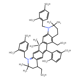 CC1(C)CCc2c(cc3c(c2CS(=O)(=O)O)C(c2cc(C(=O)O)ccc2C(=O)O)=c2cc4c(cc2[Si]3(C)C)=[N+](Cc2ccc(S(=O)(=O)O)cc2S(=O)(=O)O)C(C)(C)CC4CS(=O)(=O)O)N1Cc1ccc(S(=O)(=O)O)cc1S(=O)(=O)O